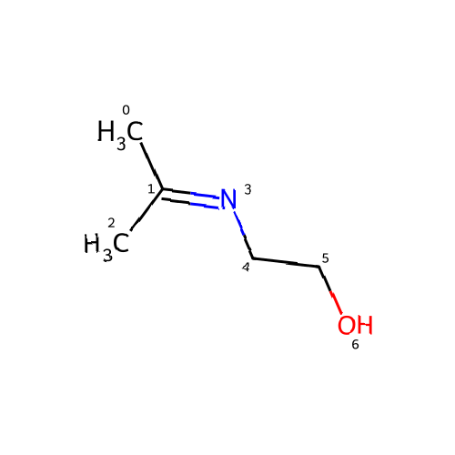 CC(C)=NCCO